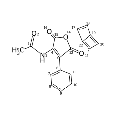 CC(=O)NC1=C(c2ccccc2)C(=O)OC1=O.c1cc2ccc1-2